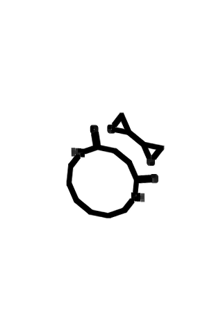 C1OC1C1CO1.O=C1CCC(=O)NCCCCCCN1